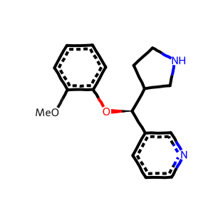 COc1ccccc1O[C@H](c1cccnc1)C1CCNC1